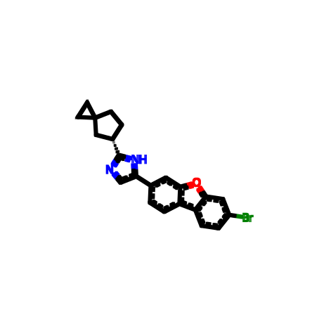 Brc1ccc2c(c1)oc1cc(-c3cnc([C@H]4CCC5(CC5)C4)[nH]3)ccc12